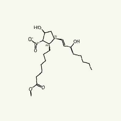 CCCCCC(O)C=C[C@@H]1CC(O)C([N+](=O)[O-])[C@@H]1CCCCCCC(=O)OC